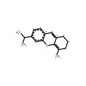 CC1=C2Oc3cc(C(C)C)ccc3C=C2CCC1